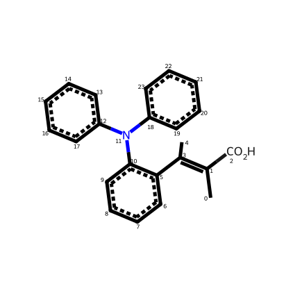 C/C(C(=O)O)=C(/C)c1ccccc1N(c1ccccc1)c1ccccc1